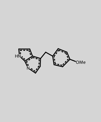 COc1ccc(Cc2ccnc3[nH]ccc23)cc1